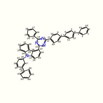 c1ccc(-c2ccc(-c3ccc(-c4nc(-c5ccccc5)nc(-c5cccc6c5c5ccccc5n6-c5cccc(-c6ccccc6)c5)n4)cc3)cc2)cc1